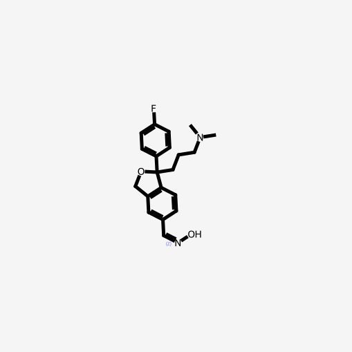 CN(C)CCCC1(c2ccc(F)cc2)OCc2cc(/C=N\O)ccc21